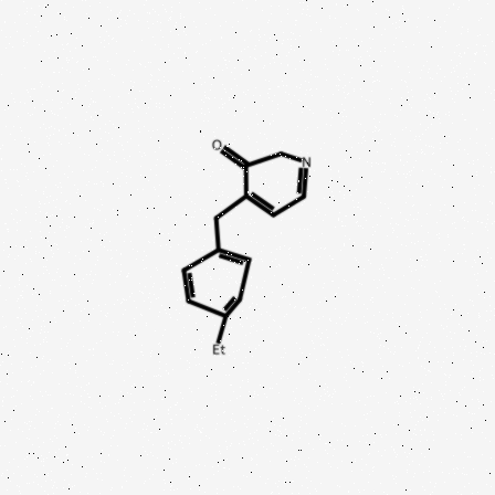 CCc1ccc(CC2=CC=NCC2=O)cc1